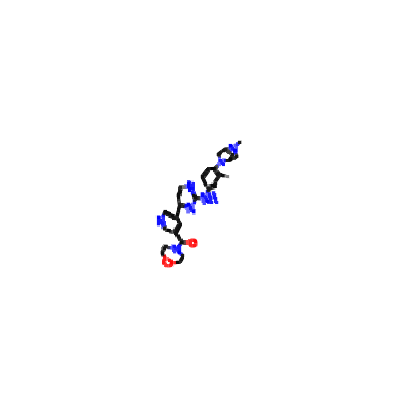 Cc1cc(Nc2nccc(-c3cncc(C(=O)N4CCOCC4)c3)n2)ccc1N1CC2CC1CN2C